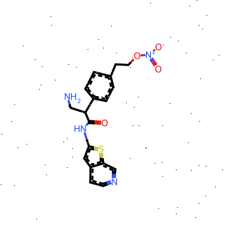 NCC(C(=O)Nc1cc2ccncc2s1)c1ccc(CCO[N+](=O)[O-])cc1